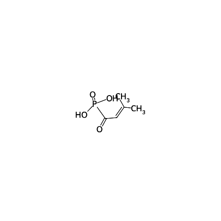 CC(C)=CC(=O)P(=O)(O)O